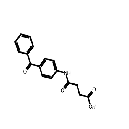 O=C(O)CCC(=O)Nc1ccc(C(=O)c2ccccc2)cc1